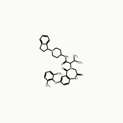 Cc1cccc(C)c1Oc1ccc2c(c1)C(=O)N(C(C(=O)NC1CCN(C3CCc4ccccc43)CC1)C(C)C)CC(=O)N2